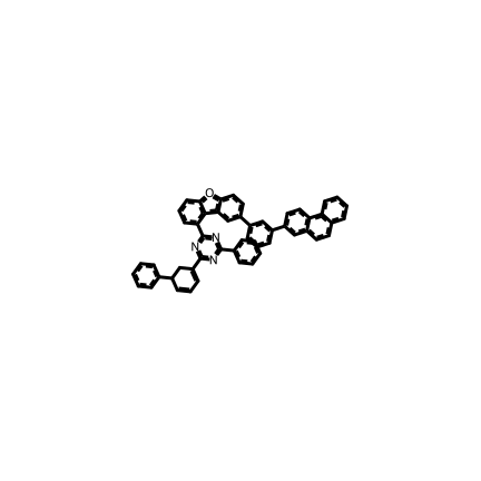 C1=CC(c2ccccc2)CC(c2nc(-c3ccccc3)nc(-c3cccc4oc5ccc(-c6cccc(-c7ccc8c(ccc9ccccc98)c7)c6)cc5c34)n2)=C1